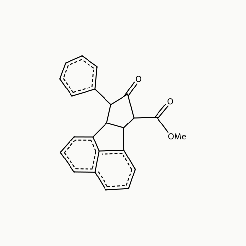 COC(=O)C1C(=O)C(c2ccccc2)C2c3cccc4cccc(c34)C12